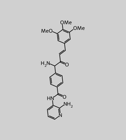 COc1cc(C=CC(=O)C(N)c2ccc(C(=O)Nc3cccnc3N)cc2)cc(OC)c1OC